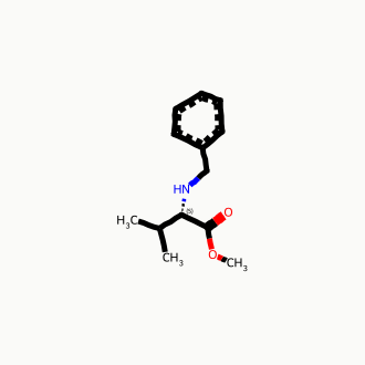 COC(=O)[C@@H](NCc1ccccc1)C(C)C